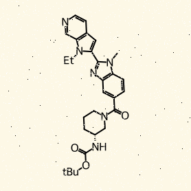 CCn1c(-c2nc3cc(C(=O)N4CCC[C@@H](NC(=O)OC(C)(C)C)C4)ccc3n2C)cc2ccncc21